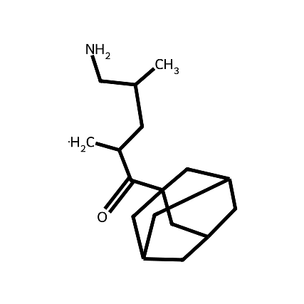 [CH2]C(CC(C)CN)C(=O)C12CC3CC(CC(C3)C1)C2